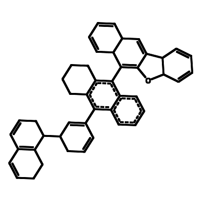 C1=CC2C=C3C(=C(c4c5c(c(C6=CC(C7CC=CC8=C7CCC=C8)CC=C6)c6ccccc46)CCCC5)C2C=C1)OC1C=CC=CC31